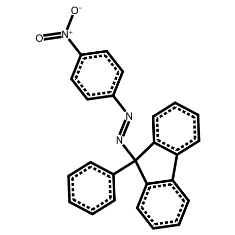 O=[N+]([O-])c1ccc(/N=N/C2(c3ccccc3)c3ccccc3-c3ccccc32)cc1